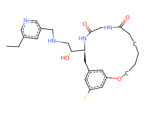 CCc1cncc(CNC[C@@H](O)[C@@H]2Cc3cc(F)cc(c3)OCCCCCC(=O)NCC(=O)N2)c1